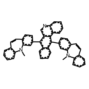 CN1c2ccccc2C=Cc2ccc(-c3c4ccccc4c(-c4ccc5c(c4)N(C)c4ccccc4C=C5)c4c3cnc3ccccc34)cc21